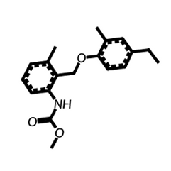 CCc1ccc(OCc2c(C)cccc2NC(=O)OC)c(C)c1